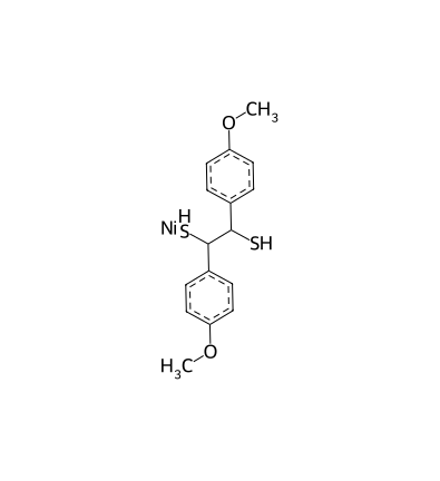 COc1ccc(C(S)C(S)c2ccc(OC)cc2)cc1.[Ni]